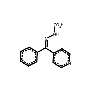 O=C(O)NN=C(c1ccccc1)c1ccncc1